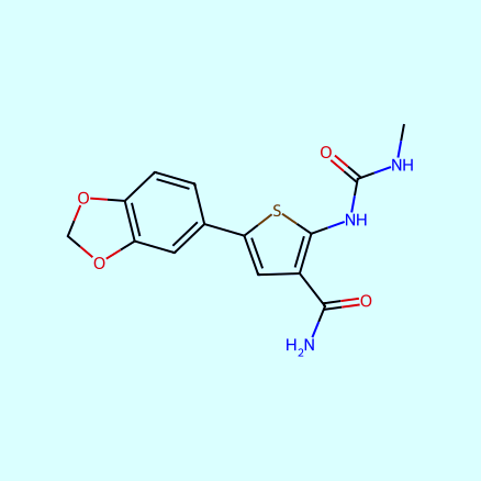 CNC(=O)Nc1sc(-c2ccc3c(c2)OCO3)cc1C(N)=O